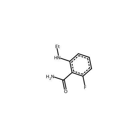 CCNc1cccc(F)c1C(N)=O